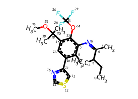 CCC(C)/C(C)=N\c1c(C)c(-c2cscn2)cc(C(C)(C)OC)c1OC(F)(F)F